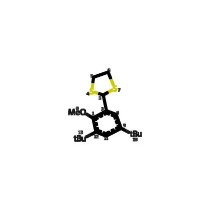 COc1c(C2SCCS2)cc(C(C)(C)C)cc1C(C)(C)C